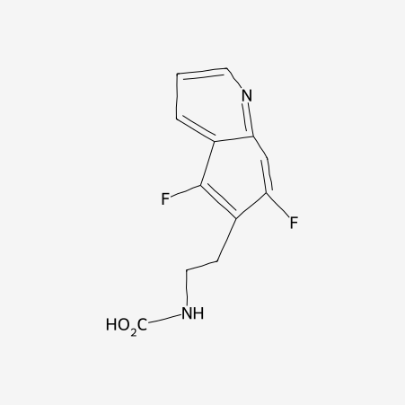 O=C(O)NCCc1c(F)cc2ncccc2c1F